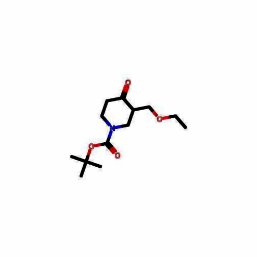 CCOCC1CN(C(=O)OC(C)(C)C)CCC1=O